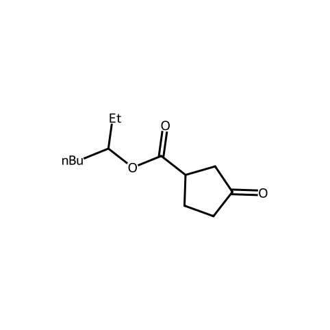 CCCCC(CC)OC(=O)C1CCC(=O)C1